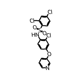 O=S(=O)(Nc1ccc(Oc2cccnc2)cc1Cl)c1ccc(Cl)cc1Cl